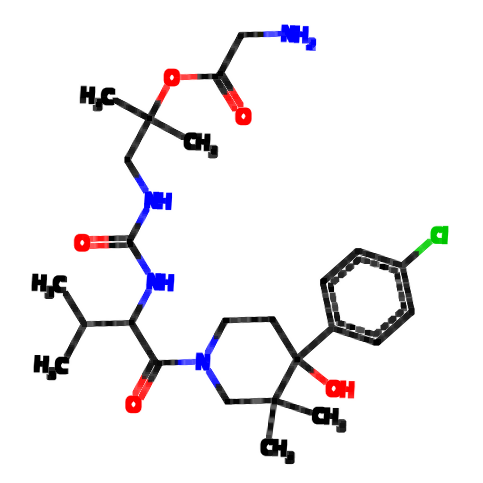 CC(C)C(NC(=O)NCC(C)(C)OC(=O)CN)C(=O)N1CCC(O)(c2ccc(Cl)cc2)C(C)(C)C1